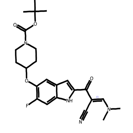 CN(C)/C=C(\C#N)C(=O)c1cc2cc(OC3CCN(C(=O)OC(C)(C)C)CC3)c(F)cc2[nH]1